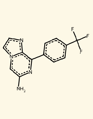 Nc1cn2ccnc2c(-c2ccc(C(F)(F)F)cc2)n1